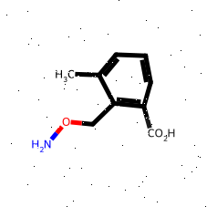 Cc1cccc(C(=O)O)c1CON